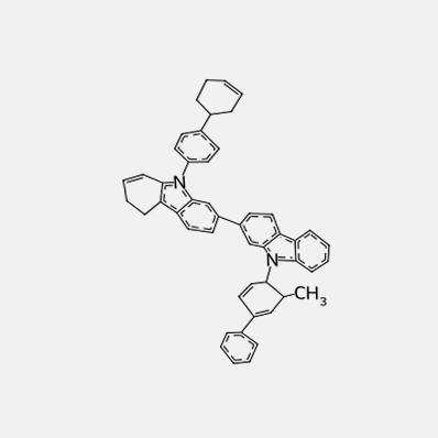 CC1C=C(c2ccccc2)C=CC1n1c2ccccc2c2ccc(-c3ccc4c5c(n(-c6ccc(C7CC=CCC7)cc6)c4c3)C=CCC5)cc21